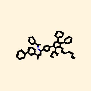 C=C/C=C\C=C/Cc1c(C(/C=C\C)=C/C)c(-c2ccc(C(=C/C(=C)c3cccc(-c4ccccc4)c3)/N=C(\C)c3ccccc3)cc2)cc(-c2ccccc2)c1-c1ccccc1